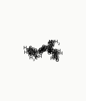 CNC(=O)C[C@@H]1[C@@H](COP(=O)(O)OP(=O)(O)OP(=O)(O)OCC2O[C@@H](n3cnc4c(N)ncnc43)[C@H](OC)[C@@H]2OP(=O)([O-])OC[C@H]2O[C@@H](n3ccc(=O)[nH]c3=O)[C@H](O)[C@@H]2O)OC(n2c[n+](C)c3c(=O)[nH]c(N)nc32)[C@@H]1O